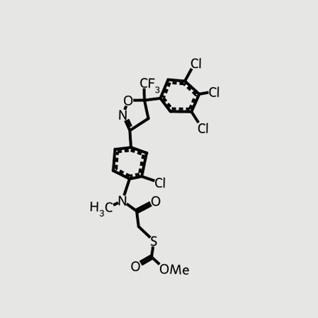 COC(=O)SCC(=O)N(C)c1ccc(C2=NOC(c3cc(Cl)c(Cl)c(Cl)c3)(C(F)(F)F)C2)cc1Cl